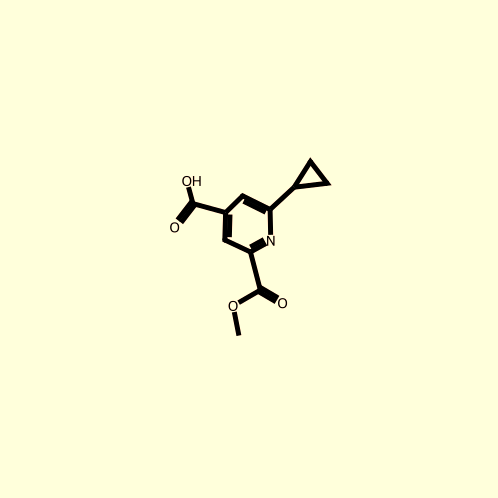 COC(=O)c1cc(C(=O)O)cc(C2CC2)n1